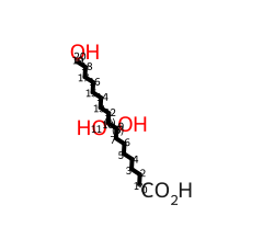 O=C(O)CCCCCCC[C@H](O)[C@@H](O)CCCCCCCCO